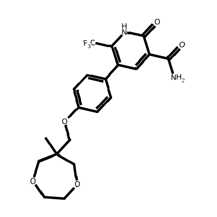 CC1(COc2ccc(-c3cc(C(N)=O)c(=O)[nH]c3C(F)(F)F)cc2)COCCOC1